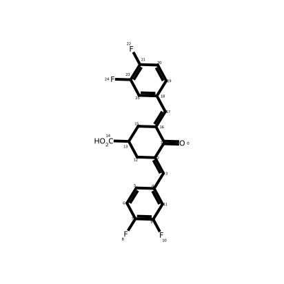 O=C1/C(=C/c2ccc(F)c(F)c2)CC(C(=O)O)C/C1=C\c1ccc(F)c(F)c1